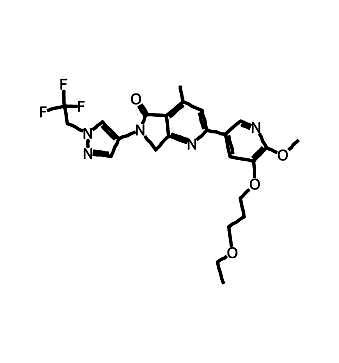 CCOCCCOc1cc(-c2cc(C)c3c(n2)CN(c2cnn(CC(F)(F)F)c2)C3=O)cnc1OC